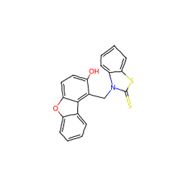 Oc1ccc2oc3ccccc3c2c1Cn1c(=S)sc2ccccc21